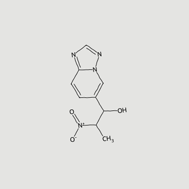 CC(C(O)c1ccc2ncnn2c1)[N+](=O)[O-]